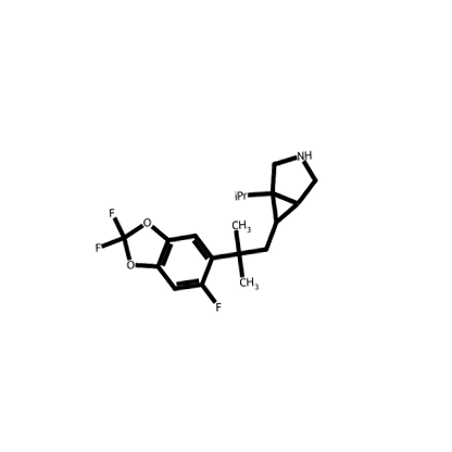 CC(C)C12CNCC1C2CC(C)(C)c1cc2c(cc1F)OC(F)(F)O2